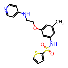 Cc1cc(NS(=O)(=O)c2cccs2)cc(OCCNc2ccncc2)c1